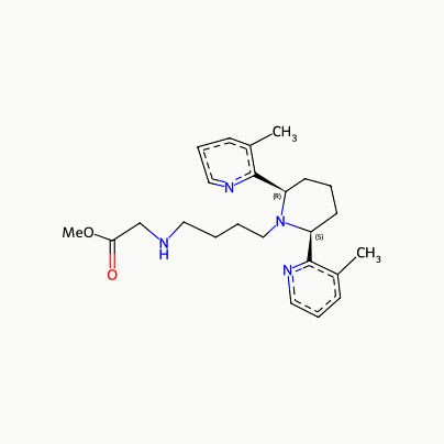 COC(=O)CNCCCCN1[C@@H](c2ncccc2C)CCC[C@H]1c1ncccc1C